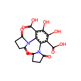 O=C(O)c1c(O)c(O)c(C(=O)O)c(N2C(=O)CCC2=O)c1N1C(=O)CCC1=O